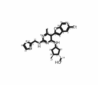 CCc1cc2cc(C3C(C)=NC(NCc4nccs4)=NC3NC3C[C@H](CO)[C@@H](C)C3)oc2cn1